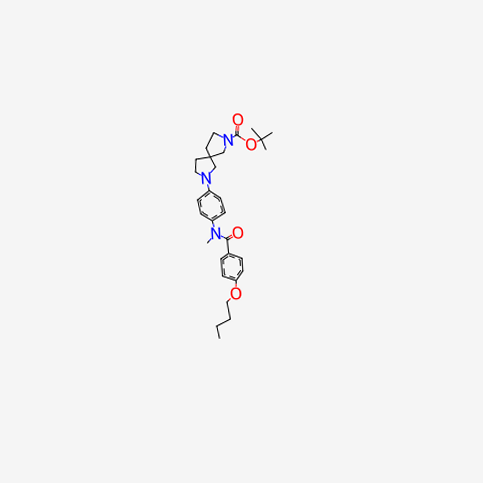 CCCCOc1ccc(C(=O)N(C)c2ccc(N3CCC4(CCN(C(=O)OC(C)(C)C)C4)C3)cc2)cc1